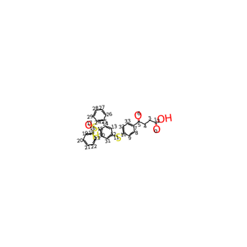 O=C(O)CCC(=O)c1ccc(Sc2ccc([SH](=O)(c3ccccc3)c3ccccc3)cc2)cc1